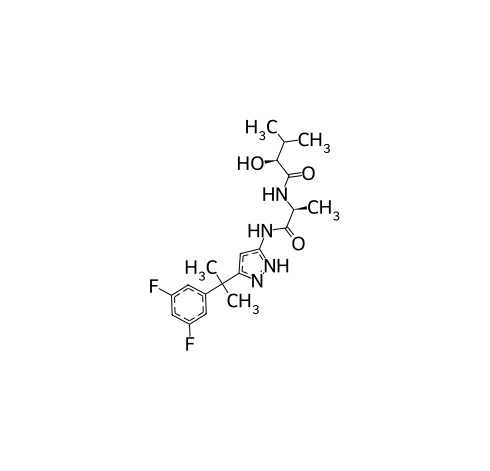 CC(C)[C@H](O)C(=O)N[C@@H](C)C(=O)Nc1cc(C(C)(C)c2cc(F)cc(F)c2)n[nH]1